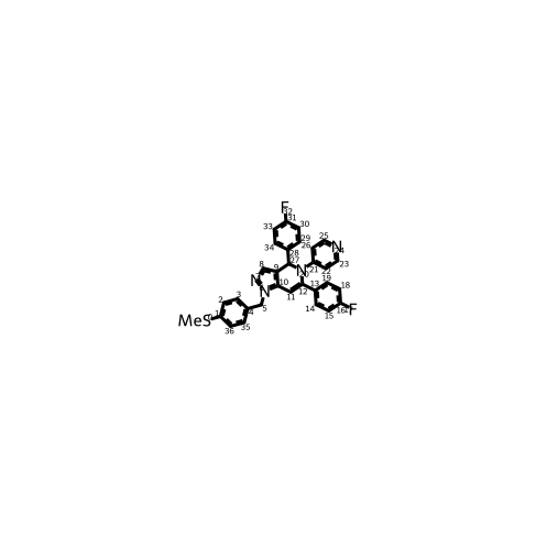 CSc1ccc(Cn2ncc3c2C=C(c2ccc(F)cc2)N(c2ccncc2)C3c2ccc(F)cc2)cc1